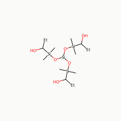 CCC(O)[Si](C)(C)O[Si](O[Si](C)(C)C(O)CC)O[Si](C)(C)C(O)CC